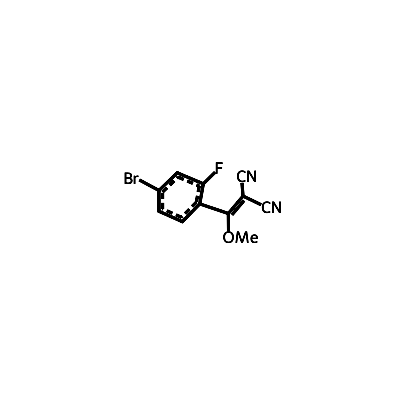 COC(=C(C#N)C#N)c1ccc(Br)cc1F